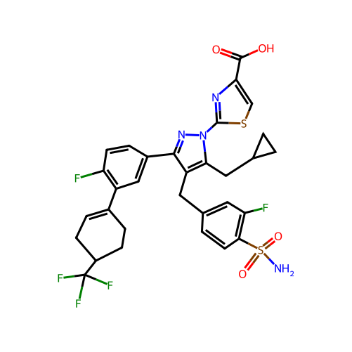 NS(=O)(=O)c1ccc(Cc2c(-c3ccc(F)c(C4=CCC(C(F)(F)F)CC4)c3)nn(-c3nc(C(=O)O)cs3)c2CC2CC2)cc1F